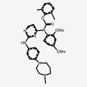 COc1ccc(N(C(=O)Oc2c(C)cccc2C)c2ccnc(Nc3ccc(N4CCCN(C)CC4)cc3)n2)c(OC)c1